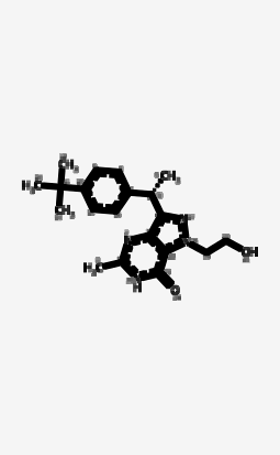 Cc1nc2c([C@@H](C)c3ccc(C(C)(C)C)cc3)nn(CCO)c2c(=O)[nH]1